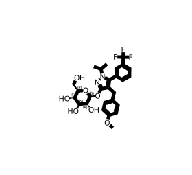 COc1ccc(Cc2c(O[C@@H]3O[C@H](CO)[C@@H](O)[C@H](O)[C@H]3O)nn(C(C)C)c2-c2cccc(C(F)(F)F)c2)cc1